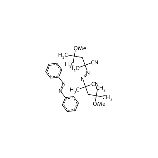 COC(C)(C)CC(C)(C#N)N=NC(C)(C#N)CC(C)(C)OC.c1ccc(N=Nc2ccccc2)cc1